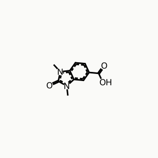 Cn1c(=O)n(C)c2cc(C(=O)O)ccc21